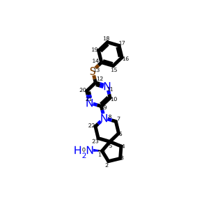 N[C@@H]1CCCC12CCN(c1cnc(Sc3ccccc3)cn1)CC2